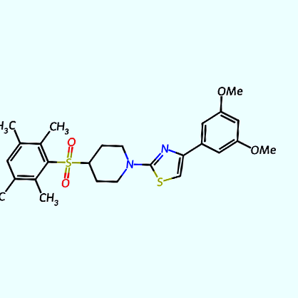 COc1cc(OC)cc(-c2csc(N3CCC(S(=O)(=O)c4c(C)c(C)cc(C)c4C)CC3)n2)c1